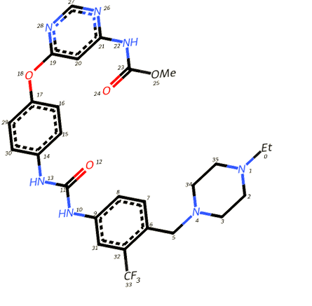 CCN1CCN(Cc2ccc(NC(=O)Nc3ccc(Oc4cc(NC(=O)OC)ncn4)cc3)cc2C(F)(F)F)CC1